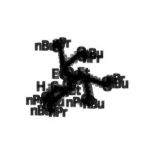 CCCCC(CCC)OC(=O)CCCCCCCCN(CCCCCCCCC(=O)OC(CCC)CCCC)CCC(CC)OC(=O)C1CC(C(=O)OC(CC)CCN(CCCCCCCCC(=O)OC(CCC)CCCC)CCCCCCCCC(=O)OC(CCC)CCCC)CC(C(=O)OC(CC)CCN(CCCCCCCCC(=O)OC(CCC)CCCC)CCCC(C)CCCCC(=O)OC(CCC)CCCC)C1